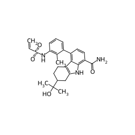 C=CS(=O)(=O)Nc1cccc(-c2ccc(C(N)=O)c3[nH]c4c(c23)CCC(C(C)(C)O)C4)c1C